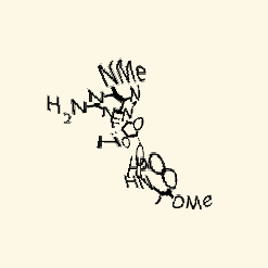 CNc1nc(N)nc2c1ncn2[C@@H]1O[C@H](CO[PH](=O)N[C@H](C)C(=O)OC)[C@@H](O)[C@@]1(C)F